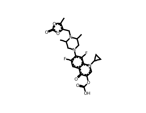 Cc1oc(=O)oc1CN1C(C)CN(c2c(F)cc3c(=O)c(OC(=O)O)cn(C4CC4)c3c2F)CC1C